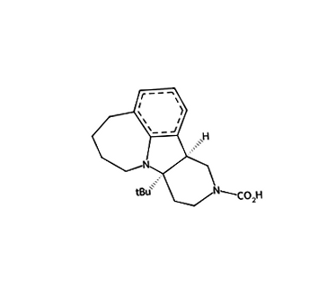 CC(C)(C)[C@@]12CCN(C(=O)O)C[C@@H]1c1cccc3c1N2CCCC3